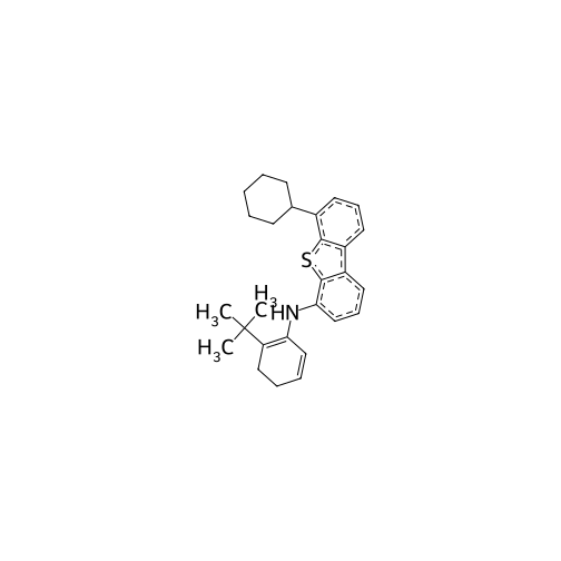 CC(C)(C)C1=C(Nc2cccc3c2sc2c(C4CCCCC4)cccc23)C=CCC1